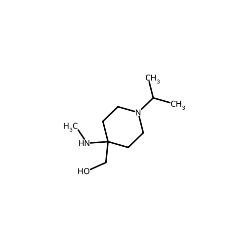 CNC1(CO)CCN(C(C)C)CC1